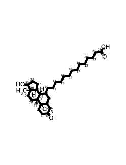 C[C@]12CCC(=O)CC1CC(CCCCCCCCCCCCCC(=O)O)[C@@H]1[C@H]2CC[C@]2(C)C(O)CC[C@@H]12